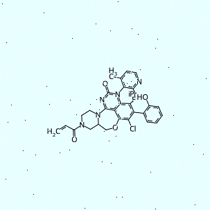 C=CC(=O)N1CCN2c3nc(=O)n(-c4c(C)ccnc4C(C)C)c4c(F)c(-c5ccccc5O)c(Cl)c(c34)OCC2C1